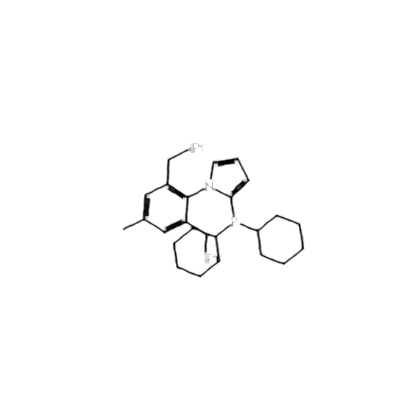 Cc1cc(CC(C)C)c(-n2cccc2P(C2CCCCC2)C2CCCCC2)c(CC(C)C)c1